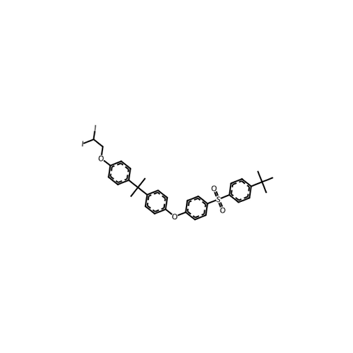 CC(C)(C)c1ccc(S(=O)(=O)c2ccc(Oc3ccc(C(C)(C)c4ccc(OCC(I)I)cc4)cc3)cc2)cc1